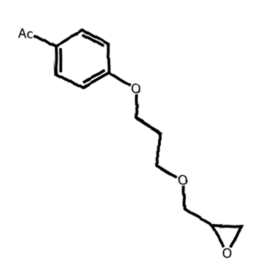 CC(=O)c1ccc(OCCCOCC2CO2)cc1